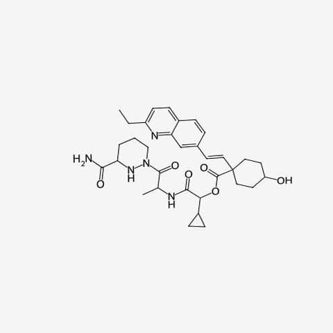 CCc1ccc2ccc(/C=C/C3(C(=O)OC(C(=O)NC(C)C(=O)N4CCCC(C(N)=O)N4)C4CC4)CCC(O)CC3)cc2n1